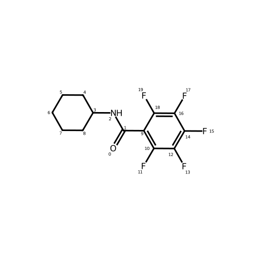 O=C(NC1CCCCC1)c1c(F)c(F)c(F)c(F)c1F